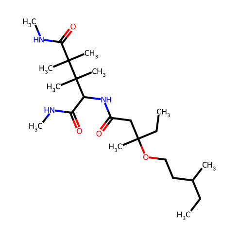 CCC(C)CCOC(C)(CC)CC(=O)NC(C(=O)NC)C(C)(C)C(C)(C)C(=O)NC